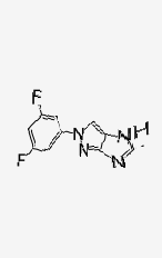 Fc1cc(F)cc(-n2cc3[nH][c]nc3n2)c1